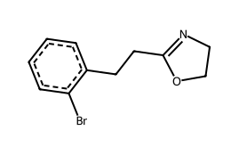 Brc1ccccc1CCC1=NCCO1